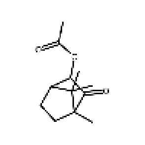 CC(=O)OC1C(=O)C2(C)CCC1C2(C)C